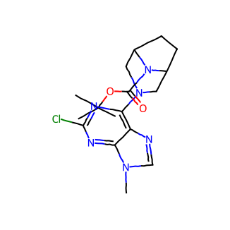 Cn1cnc2c(N3CC4CCC(C3)N4C(=O)OC(C)(C)C)nc(Cl)nc21